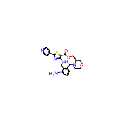 CCOC(=O)c1sc(-c2ccncc2)nc1NCc1c(N)cccc1CN1CCOCC1